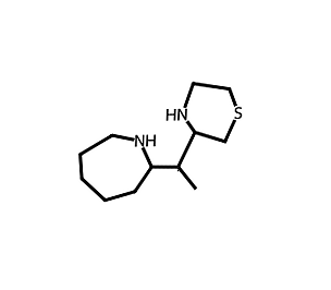 C[C](C1CCCCCN1)C1CSCCN1